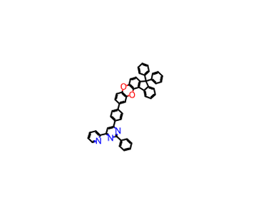 c1ccc(-c2nc(-c3ccc(-c4ccc5c(c4)Oc4c(ccc6c4-c4ccccc4C6(c4ccccc4)c4ccccc4)O5)cc3)cc(-c3ccccn3)n2)cc1